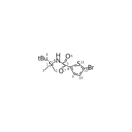 CC(C)(C)[Si](C)(C)NS(=O)(=O)c1ccc(Br)s1